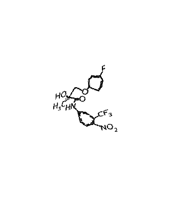 C[C@](O)(COC1C=CC(F)=CC1)C(=O)Nc1ccc([N+](=O)[O-])c(C(F)(F)F)c1